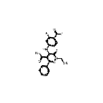 CCn1nc(-c2ccccc2)c(C(C)=O)c(Nc2ccc(C(=O)O)c(F)c2)c1=O